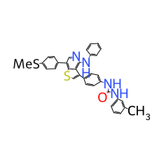 CSc1ccc(-c2cnc(Nc3ccccc3)c3c(-c4ccc(NC(=O)Nc5cccc(C)c5)cc4)csc23)cc1